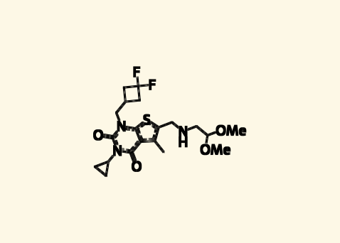 COC(CNCc1sc2c(c1C)c(=O)n(C1CC1)c(=O)n2CC1CC(F)(F)C1)OC